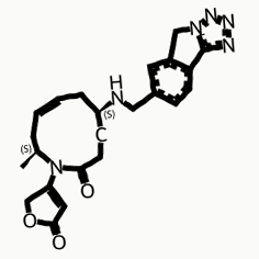 C[C@H]1CC=CC[C@@H](NCc2ccc3c(c2)Cn2nnnc2-3)CCC(=O)N1C1=CC(=O)OC1